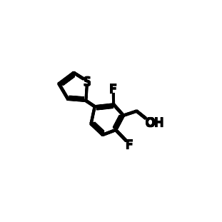 OCc1c(F)ccc(-c2cccs2)c1F